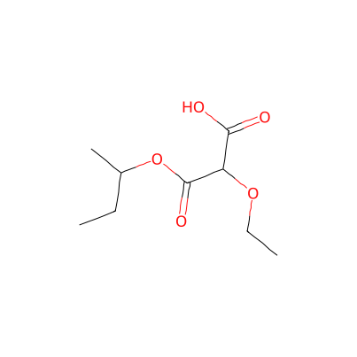 CCOC(C(=O)O)C(=O)OC(C)CC